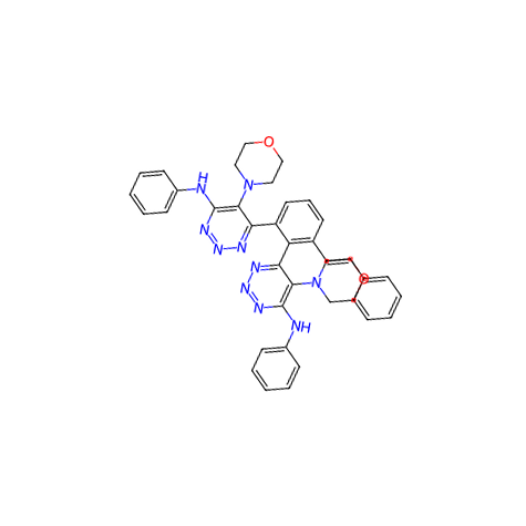 C(=Cc1cccc(-c2nnnc(Nc3ccccc3)c2N2CCOCC2)c1-c1nnnc(Nc2ccccc2)c1N1CCOCC1)c1ccccc1